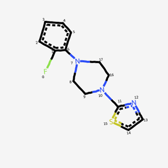 Fc1ccccc1N1CCN(c2nccs2)CC1